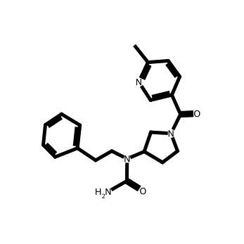 Cc1ccc(C(=O)N2CCC(N(CCc3ccccc3)C(N)=O)C2)cn1